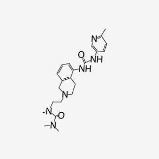 Cc1ccc(NC(=O)Nc2cccc3c2CCN(CCN(C)C(=O)N(C)C)C3)cn1